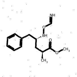 COC(=O)[C@@H](C)C[C@@H](BOC=N)Cc1ccccc1